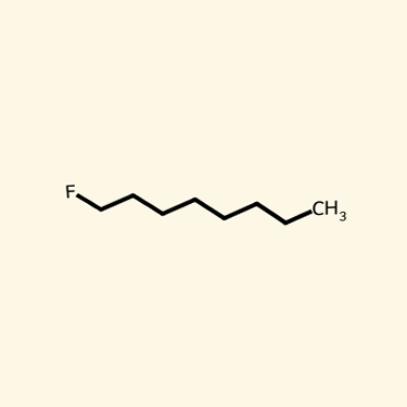 CCCCCCCCF